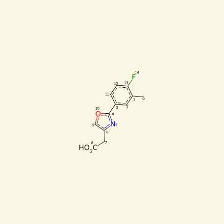 Cc1cc(-c2nc(CC(=O)O)co2)ccc1F